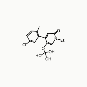 CCn1cc(OC(O)(O)O)c(-c2cc(Cl)ccc2C)cc1=O